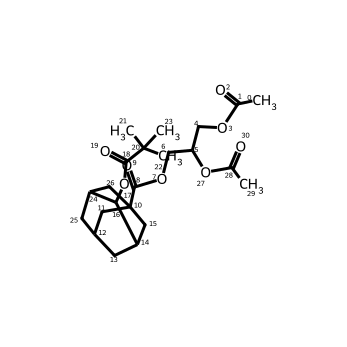 CC(=O)OCC(COC(=O)C12CC3CC(C1)C(OC(=O)C(C)(C)C)C(C3)C2)OC(C)=O